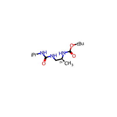 CC(C)NC(=O)NC[C@H](C)NC(=O)OC(C)(C)C